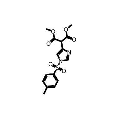 COC(=O)C(C(=O)OC)c1cn(S(=O)(=O)c2ccc(C)cc2)cn1